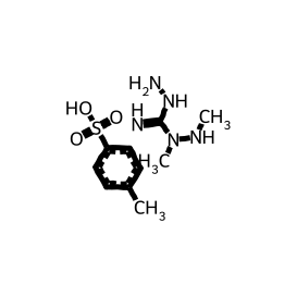 CNN(C)C(=N)NN.Cc1ccc(S(=O)(=O)O)cc1